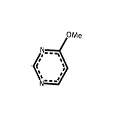 COc1ccn[c]n1